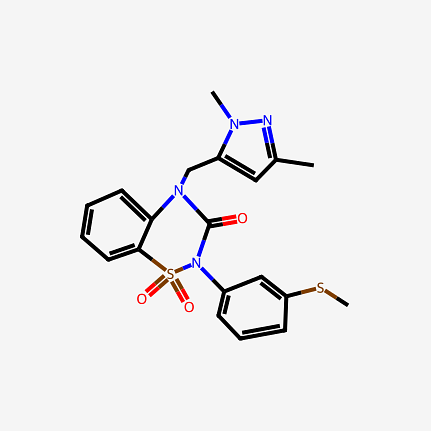 CSc1cccc(N2C(=O)N(Cc3cc(C)nn3C)c3ccccc3S2(=O)=O)c1